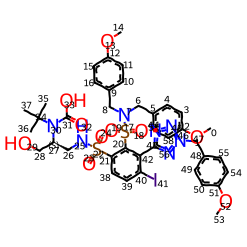 COc1ccc(CN(Cc2ccc(OC)cc2)S(=O)(=O)c2c(S(=O)(=O)NC[C@@H](CO)N(C(=O)O)C(C)(C)C)ccc(I)c2-c2nnn(Cc3ccc(OC)cc3)n2)cc1